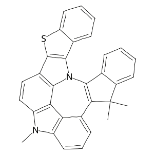 Cn1c2cccc3c4c(n5c6c7ccccc7sc6c6ccc1c(c32)c65)-c1ccccc1C4(C)C